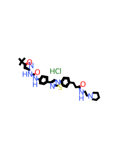 CC(C)(C)c1cc(NC(=O)Nc2ccc(-c3cn4c(n3)sc3cc(CCC(=O)NCCN5CCCCC5)ccc34)cc2)no1.Cl